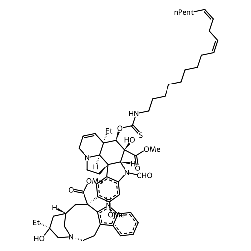 CCCCC/C=C\C/C=C\CCCCCCCCNC(=S)O[C@@H]1[C@]2(CC)C=CCN3CC[C@@]4(c5cc([C@@]6(C(=O)OC)C[C@@H]7C[N@](CCc8c6[nH]c6ccccc86)C[C@](O)(CC)C7)c(OC)cc5N(C=O)[C@H]4[C@@]1(O)C(=O)OC)[C@@H]32